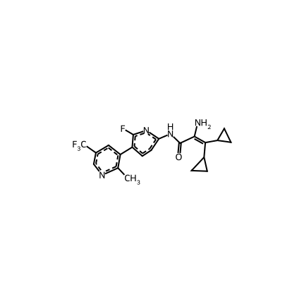 Cc1ncc(C(F)(F)F)cc1-c1ccc(NC(=O)C(N)=C(C2CC2)C2CC2)nc1F